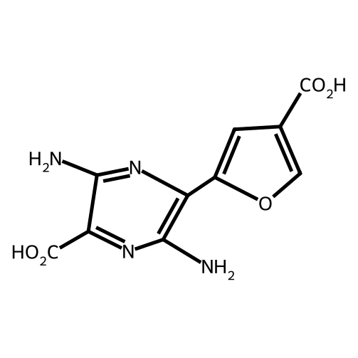 Nc1nc(-c2cc(C(=O)O)co2)c(N)nc1C(=O)O